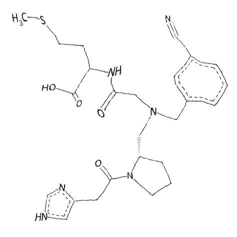 CSCCC(NC(=O)CN(Cc1cccc(C#N)c1)C[C@@H]1CCCN1C(=O)Cc1c[nH]cn1)C(=O)O